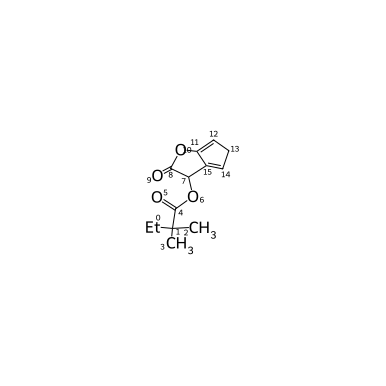 CCC(C)(C)C(=O)OC1C(=O)OC2=CCC=C21